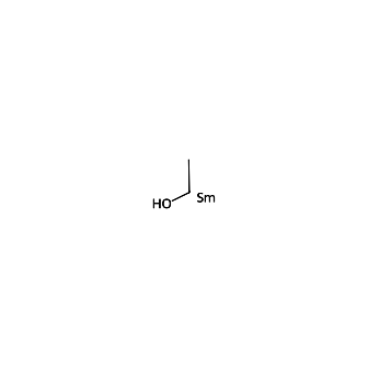 CCO.[Sm]